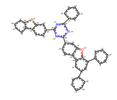 c1ccc(-c2cc(-c3ccccc3)c3oc4cc(-c5nc(-c6ccccc6)nc(-c6ccc7c(c6)sc6ccccc67)n5)ccc4c3c2)cc1